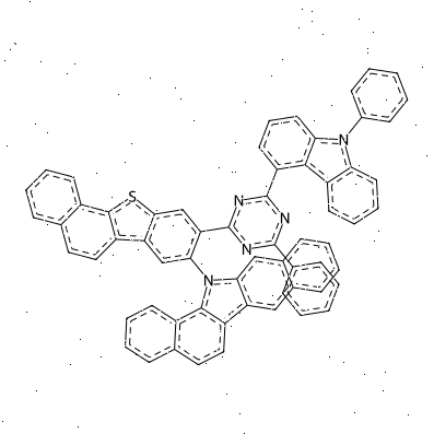 c1ccc(-c2nc(-c3cc4sc5c6ccccc6ccc5c4cc3-n3c4cc5ccccc5cc4c4ccc5ccccc5c43)nc(-c3cccc4c3c3ccccc3n4-c3ccccc3)n2)cc1